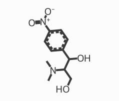 CN(C)C(CO)C(O)c1ccc([N+](=O)[O-])cc1